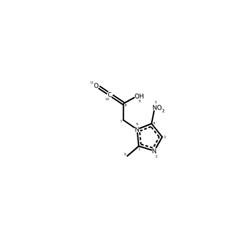 Cc1ncc([N+](=O)[O-])n1CC(O)=C=O